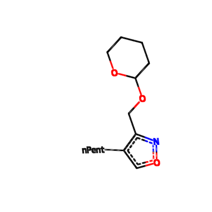 CCCCCc1conc1COC1CCCCO1